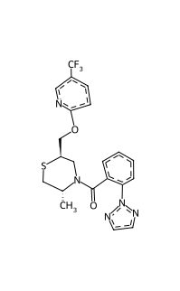 C[C@@H]1CS[C@@H](COc2ccc(C(F)(F)F)cn2)CN1C(=O)c1ccccc1-n1nccn1